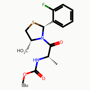 C[C@H](NC(=O)OC(C)(C)C)C(=O)N1[C@@H](c2ccccc2F)SC[C@H]1C(=O)O